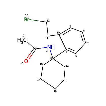 CC(=O)NC1(c2ccccc2CCBr)CCCCC1